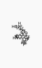 O=C1N=C(N2CCNC(CO)C2)SC1=C(Cc1ccc(C(F)(F)F)cc1C(F)(F)F)c1ccc2[nH]ncc2c1